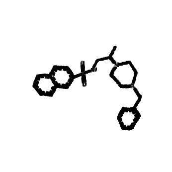 CC(CNS(=O)(=O)c1ccc2ccccc2c1)N1CCN(Cc2ccccc2)CC1